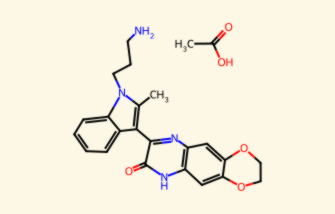 CC(=O)O.Cc1c(-c2nc3cc4c(cc3[nH]c2=O)OCCO4)c2ccccc2n1CCCN